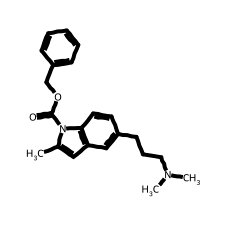 Cc1cc2cc(CCCN(C)C)ccc2n1C(=O)OCc1ccccc1